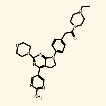 CCN1CCN(C(=O)Cc2ccc(N3CCc4c(-c5cnc(N)nc5)nc(N5CCOCC5)nc43)cc2)CC1